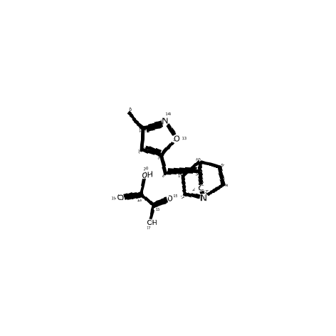 Cc1cc(/C=C2/CN3CCC2CC3)on1.O=C(O)C(=O)O